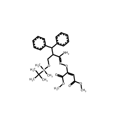 COC(=O)C=C(O/N=C(\N)C(CO[Si](C)(C)C(C)(C)C)C(c1ccccc1)c1ccccc1)C(=O)OC